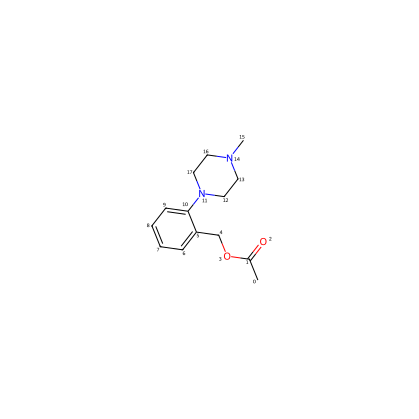 CC(=O)OCc1ccccc1N1CCN(C)CC1